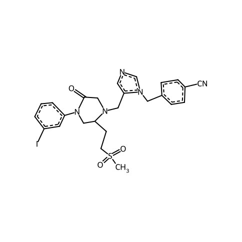 CS(=O)(=O)CCC1CN(c2cccc(I)c2)C(=O)CN1Cc1cncn1Cc1ccc(C#N)cc1